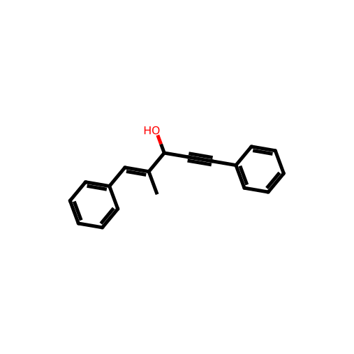 C/C(=C\c1ccccc1)C(O)C#Cc1ccccc1